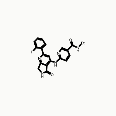 CCNC(=O)c1ccc(Nc2cc(-c3ccccc3F)nc3c2C(=O)NC3)nc1